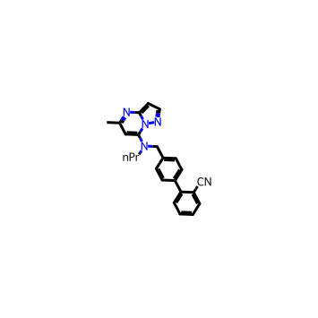 CCCN(Cc1ccc(-c2ccccc2C#N)cc1)c1cc(C)nc2ccnn12